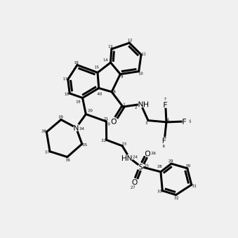 O=C(NCC(F)(F)F)C1c2ccccc2-c2cccc(C(CCCNS(=O)(=O)c3ccccc3)N3CCCCC3)c21